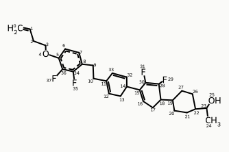 C=CCCOc1ccc(CCC2=CCC(C3=CCC(C4CCC(C(C)O)CC4)C(F)=C3F)C=C2)c(F)c1F